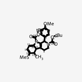 COc1ccc(C2C3=C(CCN2C(=O)OC(C)(C)C)C2C(=CC=C(SC)C2C)N3C(=O)OC(C)(C)C)cc1